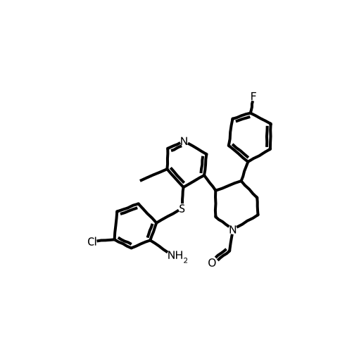 Cc1cncc(C2CN(C=O)CCC2c2ccc(F)cc2)c1Sc1ccc(Cl)cc1N